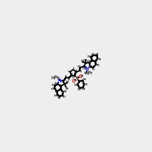 CCCN1/C(=C/C=C2\CCC(/C=C/C3=[N+](CCC)c4ccc5ccccc5c4C3(C)C)=C2S(=O)(=O)c2ccccc2)C(C)(C)c2c1ccc1ccccc21